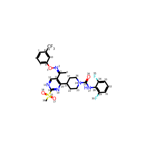 C/C(=N/Oc1cccc(C(F)(F)F)c1)c1cnc(S(C)(=O)=O)nc1C1CCN(C(=O)Nc2c(F)cccc2F)CC1